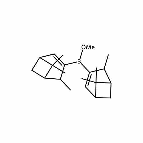 COB(C1=CC2CC(C1C)C2(C)C)C1=CC2CC(C1C)C2(C)C